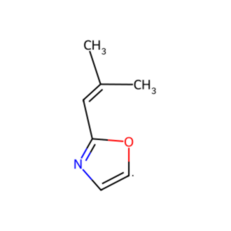 CC(C)=Cc1nc[c]o1